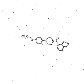 O=C(O)COc1ccc(C2CCN(C(=O)c3cccc4ccccc34)CC2)cc1